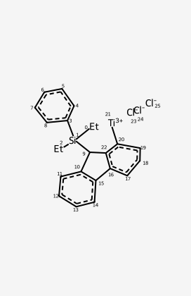 CC[Si](CC)(c1ccccc1)C1c2ccccc2-c2ccc[c]([Ti+3])c21.[Cl-].[Cl-].[Cl-]